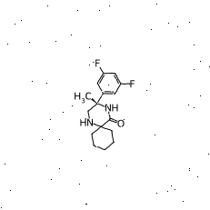 C[C@]1(c2cc(F)cc(F)c2)CNC2(CCCCC2)C(=O)N1